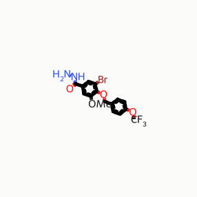 COc1cc(C(=O)NN)cc(Br)c1OCc1ccc(OC(F)(F)F)cc1